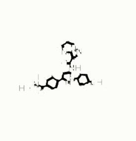 CNC(=O)c1ccc(-c2cc(NC(=O)c3cnn4cccnc34)n(-c3ccc(C)cc3)n2)cc1